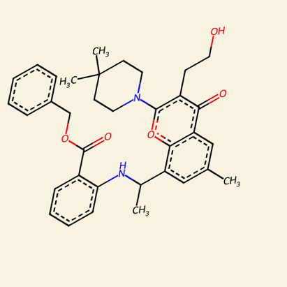 Cc1cc(C(C)Nc2ccccc2C(=O)OCc2ccccc2)c2oc(N3CCC(C)(C)CC3)c(CCO)c(=O)c2c1